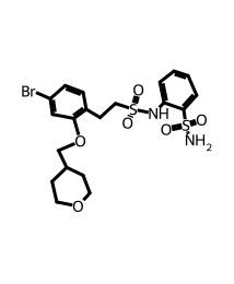 NS(=O)(=O)c1ccccc1NS(=O)(=O)CCc1ccc(Br)cc1OCC1CCOCC1